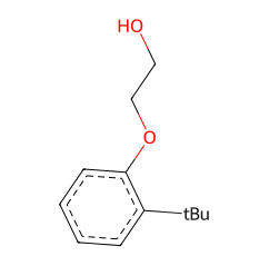 CC(C)(C)c1ccccc1OCCO